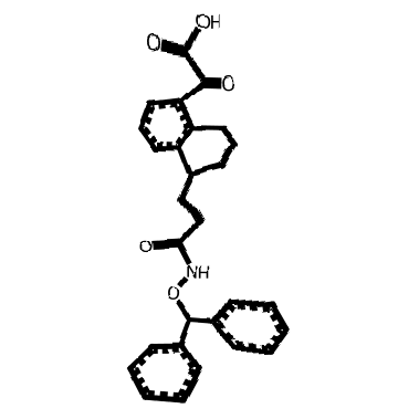 O=C(CCC1CCCc2c(C(=O)C(=O)O)cccc21)NOC(c1ccccc1)c1ccccc1